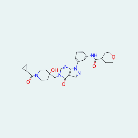 O=C(Nc1cccc(-n2ncc3c(=O)n(CC4(O)CCN(C(=O)C5CC5)CC4)cnc32)c1)C1CCOCC1